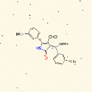 CN/C(=C1/C(=O)NC(c2cccc(C#N)c2)=C1C=O)c1cccc(C#N)c1